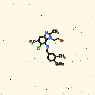 COc1ccc(C=Nc2c(Cl)c(C(F)(F)F)cc3nc(C)n(CCBr)c23)cc1C